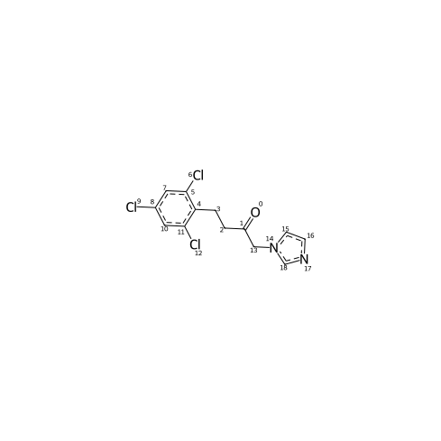 O=C(CCc1c(Cl)cc(Cl)cc1Cl)Cn1ccnc1